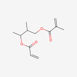 C=CC(=O)OC(C)C(C)COC(=O)C(=C)C